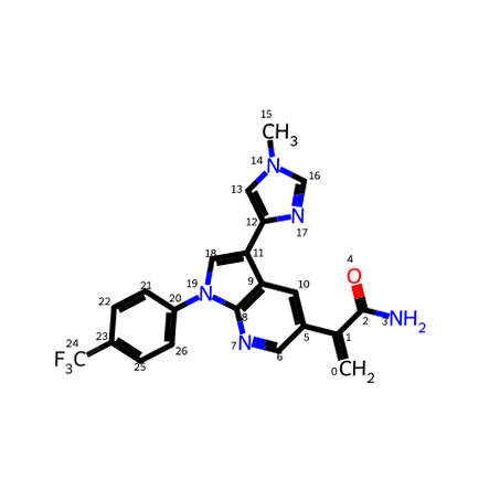 C=C(C(N)=O)c1cnc2c(c1)c(-c1cn(C)cn1)cn2-c1ccc(C(F)(F)F)cc1